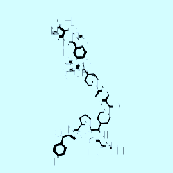 CNC(C)C(=O)N[C@H](C(=O)N1CCCC1c1nc(C(=O)c2ccc(F)cc2)cs1)C1CCN(C(=O)c2cnc(N3CCC(COc4cc5ncnc(Nc6n[nH]c(C)c6C)c5cc4S(=O)(=O)C(C)(C)C)CC3)cn2)CC1